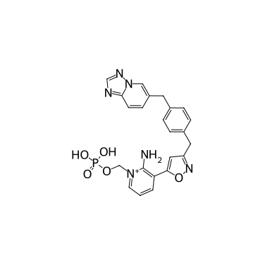 Nc1c(-c2cc(Cc3ccc(Cc4ccc5ncnn5c4)cc3)no2)ccc[n+]1COP(=O)(O)O